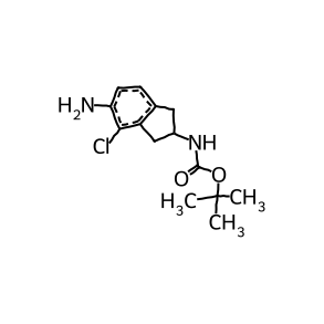 CC(C)(C)OC(=O)NC1Cc2ccc(N)c(Cl)c2C1